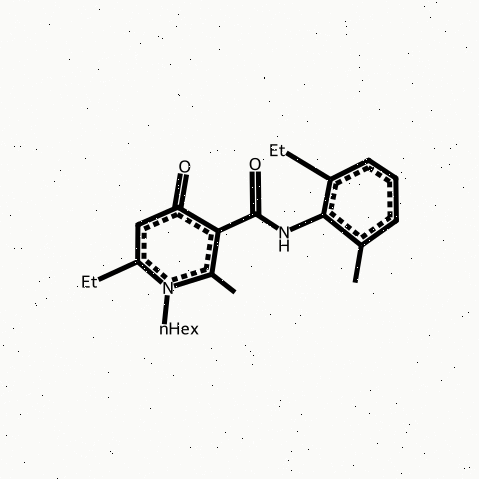 CCCCCCn1c(CC)cc(=O)c(C(=O)Nc2c(C)cccc2CC)c1C